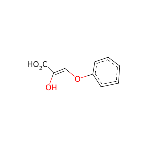 O=C(O)C(O)=COc1ccccc1